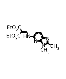 CCOC(=O)C(=CNc1ccc2nc(C)n(C)c2n1)C(=O)OCC